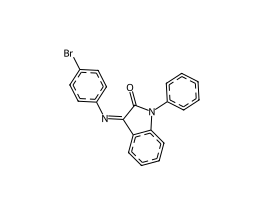 O=C1C(=Nc2ccc(Br)cc2)c2ccccc2N1c1ccccc1